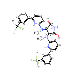 CN(c1cccc(-c2cccc(C(F)(F)F)c2)n1)C1C(=O)NC(=O)C1N(C)c1cccc(-c2cccc(C(F)(F)F)c2)n1